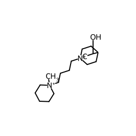 C[N+]1(CCCC[N+]23CCC(CC2)C(O)C3)CCCCC1